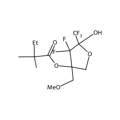 CCC(C)(C)C(=O)OC1(COC)COC(O)(C(F)(F)F)C1(F)F